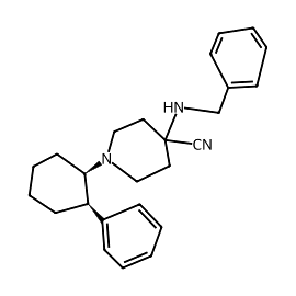 N#CC1(NCc2ccccc2)CCN([C@@H]2CCCC[C@@H]2c2ccccc2)CC1